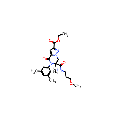 CCOC(=O)c1cc2n(n1)CC(C)(C(=O)NCCCOC)N(c1cc(C)cc(C)c1)C2=O